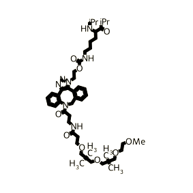 COCCOCC(C)(C)COCC(C)(C)COCCC(=O)NCCC(=O)N1Cc2ccccc2-c2c(nnn2CCOC(=O)NCCCCC(NC(C)C)C(=O)C(C)C)-c2ccccc21